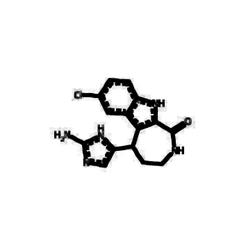 Nc1ncc(C2CCNC(=O)c3[nH]c4ccc(Cl)cc4c32)[nH]1